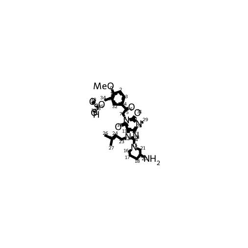 COc1ccc(C(=O)Cn2c(=O)c3c(nc(N4CCCC(N)C4)n3CC=C(C)C)n(C)c2=O)cc1CO[SH](=O)=O